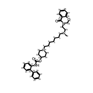 CN(CCCCCCCN1CCC(OC(=O)Nc2ccccc2-c2ccccc2)CC1)CCN1COc2ccccc2C1=O